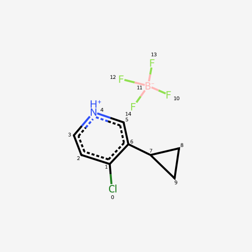 Clc1cc[nH+]cc1C1CC1.F[B-](F)(F)F